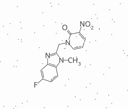 Cn1c(Cn2cccc([N+](=O)[O-])c2=O)nc2cc(F)ccc21